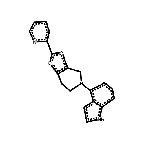 c1ccc(-c2nc3c(o2)CCN(c2cccc4[nH]ccc24)C3)nc1